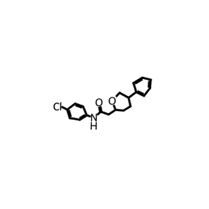 O=C(CC1CCC(c2ccccc2)CO1)Nc1ccc(Cl)cc1